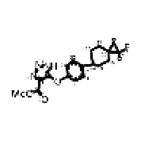 COC(=O)c1nn[nH]c1Oc1ccc(C2CCC3(CC2)CC3(F)F)cc1